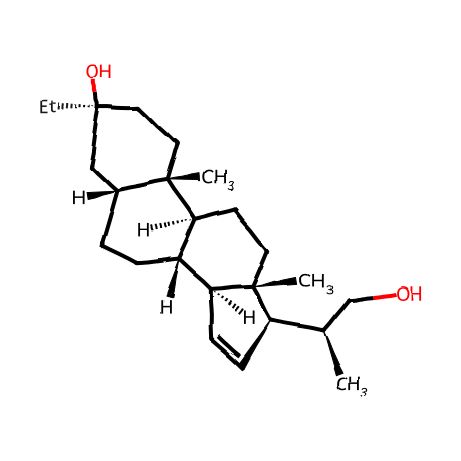 CC[C@]1(O)CC[C@@]2(C)[C@H](CC[C@H]3[C@@H]4C=C[C@H]([C@H](C)CO)[C@@]4(C)CC[C@@H]32)C1